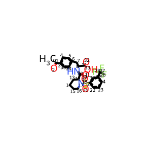 CC(=O)c1ccc(CC(NC(=O)C2CCCCN2S(=O)(=O)c2cccc(C(F)(F)F)c2)C(=O)O)cc1